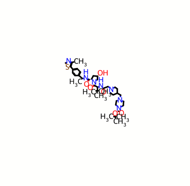 Cc1ncsc1-c1ccc(C(C)NC(=O)[C@@H]2C[C@@H](O)CN2C(=O)C(NC(=O)CN2CCC(CN3CCN(C(=O)OC(C)(C)C)CC3)CC2)C(C)(C)C)cc1